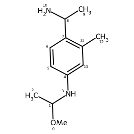 COC(C)Nc1ccc(C(C)N)c(C)c1